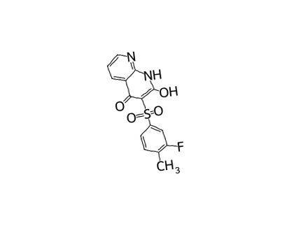 Cc1ccc(S(=O)(=O)c2c(O)[nH]c3ncccc3c2=O)cc1F